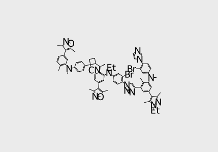 CCN(c1ccc(-n2cc(-c3cc(-c4c(C)nn(CC)c4C)cc(N(C)c4ccc(-n5ccnc5)c(Br)c4)c3C)nn2)c(Br)c1)c1cc(-c2c(C)noc2C)ccc1[C@H](C)C1CCC1(C#N)c1ccc(N(C)c2cc(-c3c(C)noc3C)ccc2C)cc1